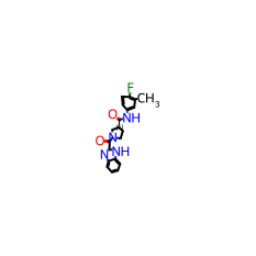 Cc1cc(NC(=O)[C@H]2CCN(C(=O)c3nc4ccccc4[nH]3)C2)ccc1F